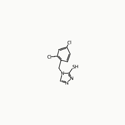 Sc1nncn1Cc1ccc(Cl)cc1Cl